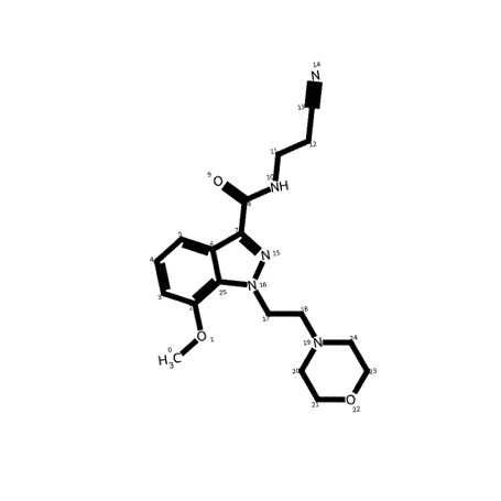 COc1cccc2c(C(=O)NCCC#N)nn(CCN3CCOCC3)c12